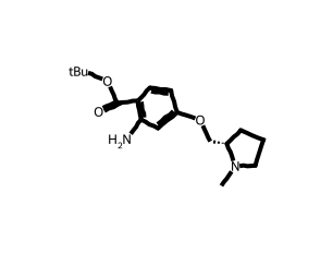 CN1CCC[C@H]1COc1ccc(C(=O)OC(C)(C)C)c(N)c1